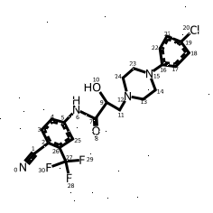 N#Cc1ccc(NC(=O)C(O)CN2CCN(c3ccc(Cl)cc3)CC2)cc1C(F)(F)F